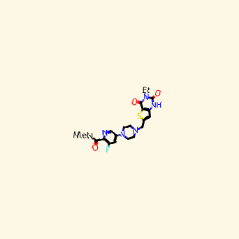 CCn1c(=O)[nH]c2cc(CN3CCN(c4cnc(C(=O)NC)c(F)c4)CC3)sc2c1=O